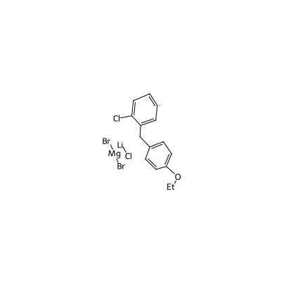 CCOc1ccc(Cc2c[c]ccc2Cl)cc1.[Br][Mg][Br].[Li][Cl]